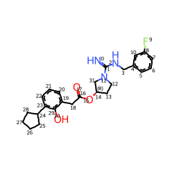 N=C(NCc1cccc(F)c1)N1CC[C@@H](OC(=O)Cc2cccc(C3CCCC3)c2O)C1